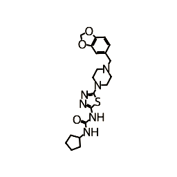 O=C(Nc1nnc(N2CCN(Cc3ccc4c(c3)OCO4)CC2)s1)NC1CCCC1